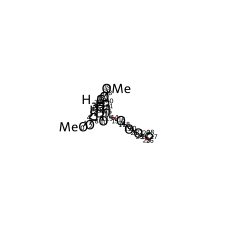 COCOc1ccc2c(c1)C(=O)[C@@H](CCCCOCCOCCOCc1ccccc1)[C@@H]1[C@@H]2CC[C@]2(C)[C@@H](OCOC)CC[C@@H]12